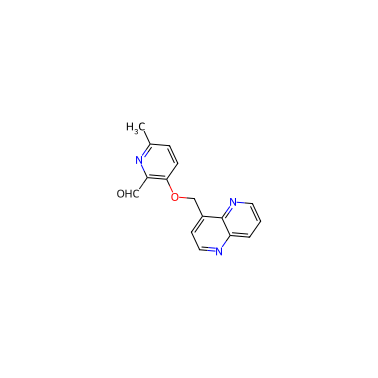 Cc1ccc(OCc2ccnc3cccnc23)c(C=O)n1